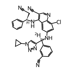 [2H][C@](Nc1cc(Cl)c2ncc(C#N)c(N[C@H](CC#N)c3ccccc3)c2c1)(c1cccc(C#N)c1)c1cn(C2CC2)nn1